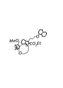 CCOC(=O)c1c(CCCOc2cccc3ccccc23)c2cccc3c2n1CCCCCOCc1c-3c(COC)nn1C